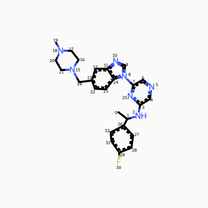 CC(Nc1cncc(-n2cnc3cc(CN4CCN(C)CC4)ccc32)n1)c1ccc(F)cc1